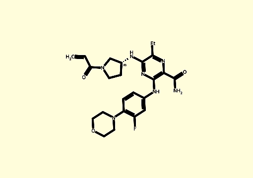 C=CC(=O)N1CC[C@@H](Nc2nc(Nc3ccc(N4CCOCC4)c(F)c3)c(C(N)=O)nc2CC)C1